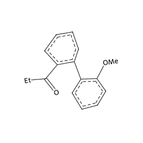 CCC(=O)c1ccccc1-c1ccccc1OC